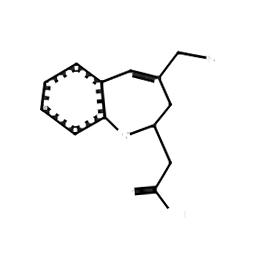 NCC1=Cc2ccccc2NC(CC(=O)O)C1